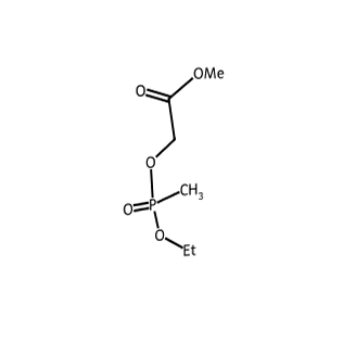 CCOP(C)(=O)OCC(=O)OC